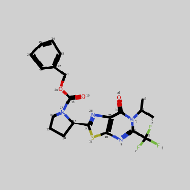 CC(C)n1c(C(F)(F)F)nc2sc([C@H]3CCCN3C(=O)OCc3ccccc3)nc2c1=O